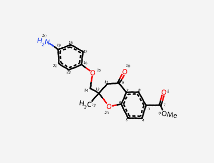 COC(=O)c1ccc2c(c1)C(=O)CC(C)(COc1ccc(N)cc1)O2